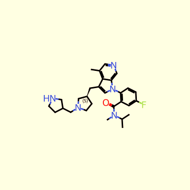 Cc1cncc2c1c(C[C@H]1CCN(CC3CCNC3)C1)cn2-c1ccc(F)cc1C(=O)N(C)C(C)C